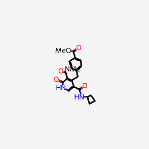 CNC(=O)c1c(Cc2ccc(C(=O)OC)cc2)c(C(=O)NC2CCC2)c[nH]c1=O